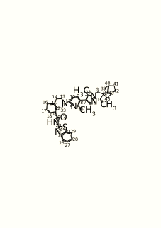 CCC1(Cn2ncc(-c3ccc(N4CCc5cccc(C(=O)Nc6nc7ccccc7s6)c5C4)nc3C)c2C)CC2CCC(C2)C1